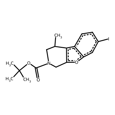 CC1CN(C(=O)OC(C)(C)C)Cc2oc3cc(I)ccc3c21